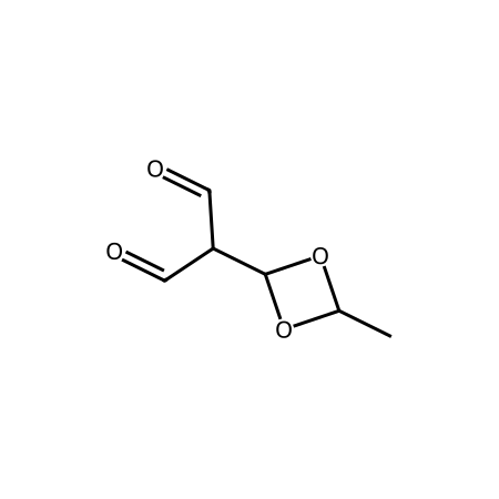 CC1OC(C(C=O)C=O)O1